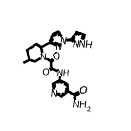 CC1CCC(c2ccn(-c3cc[nH]n3)n2)N(C(=O)C(=O)Nc2cncc(C(N)=O)c2)C1